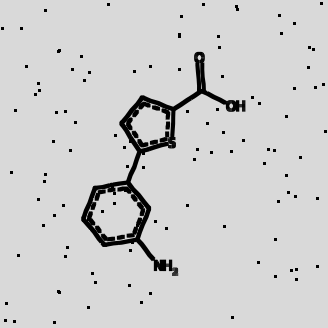 Nc1cccc(-c2ccc(C(=O)O)s2)c1